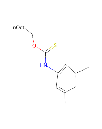 CCCCCCCCCOC(=S)Nc1cc(C)cc(C)c1